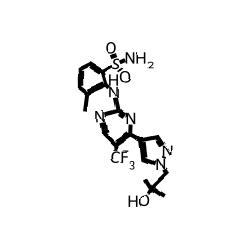 Cc1cccc(S(N)(=O)=O)c1Nc1ncc(C(F)(F)F)c(-c2cnn(CC(C)(C)O)c2)n1